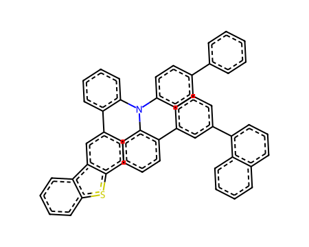 c1ccc(-c2ccc(N(c3ccccc3-c3cccc(-c4cccc5ccccc45)c3)c3ccccc3-c3ccc4sc5ccccc5c4c3)cc2)cc1